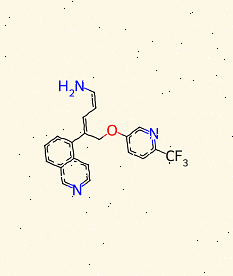 N/C=C\C=C(/COc1ccc(C(F)(F)F)nc1)c1cccc2cnccc12